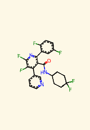 O=C(NC1CCC(F)(F)CC1)c1c(-c2cc(F)ccc2F)nc(F)c(F)c1-c1cccnc1